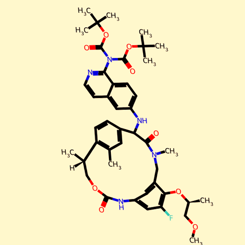 COC[C@H](C)Oc1c(F)cc2cc1CN(C)C(=O)C(Nc1ccc3c(N(C(=O)OC(C)(C)C)C(=O)OC(C)(C)C)nccc3c1)c1ccc(c(C)c1)[C@@H](C)COC(=O)N2